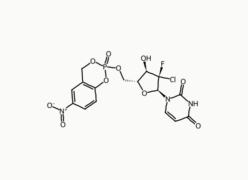 O=c1ccn([C@H]2O[C@H](COP3(=O)OCc4cc([N+](=O)[O-])ccc4O3)[C@@H](O)[C@]2(F)Cl)c(=O)[nH]1